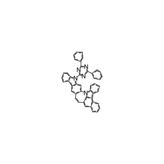 C1=Cc2cc3ccccc3c3c4ccccc4n(c23)-c2cc3c(cc21)c1ccccc1n3-c1nc(-c2ccccc2)nc(-c2ccccc2)n1